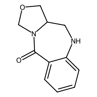 O=C1c2ccccc2NCC2COCN12